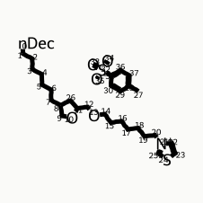 CCCCCCCCCCCCCCCCCC1COC(COCCCCCCC[n+]2ccsc2)C1.Cc1ccc(S(=O)(=O)[O-])cc1